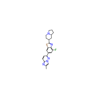 Cc1cn2nc(-c3cc(F)c4nc(C5CCN6CCCC6C5)sc4c3)ccc2n1